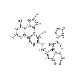 Cc1nc(-c2c(Cl)cc(Cl)cc2-c2ccc(CNC3=NC4=CC=CCC4N3NC(=O)c3ccco3)c(F)c2)no1